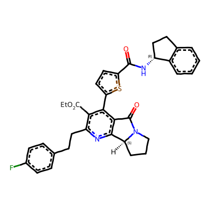 CCOC(=O)c1c(CCc2ccc(F)cc2)nc2c(c1-c1ccc(C(=O)N[C@@H]3CCc4ccccc43)s1)C(=O)N1CCC[C@@H]21